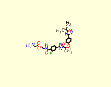 CC(C)c1nc(-c2ccc(OC(C)c3nc(-c4ccc(C(=O)NCCOC(=O)CN)c(F)c4)no3)cc2)no1